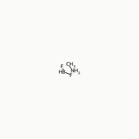 CN.FBF